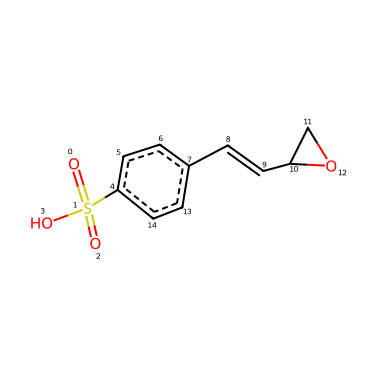 O=S(=O)(O)c1ccc(C=CC2CO2)cc1